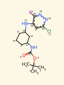 CC(C)(C)OC(=O)NC1CCCC(Nc2cc(Cl)nnc2I)C1